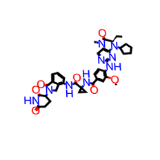 CC[C@@H]1C(=O)N(C)c2cnc(Nc3ccc(C(=O)NC4(C(=O)Nc5cccc6c5CN(C5CCC(=O)NC5=O)C6=O)CC4)cc3OC)nc2N1C1CCCC1